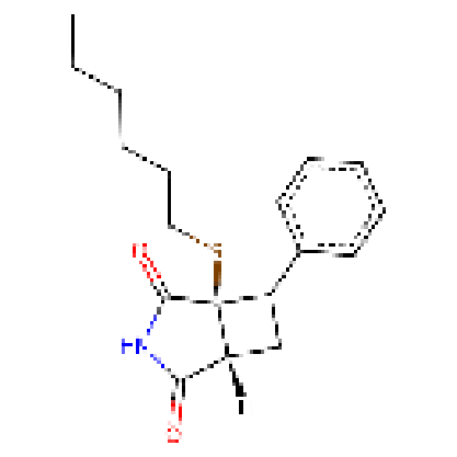 CCCCCCS[C@]12C(=O)NC(=O)[C@H]1CC2c1ccccc1